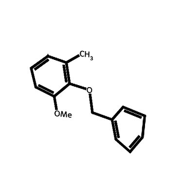 COc1cc[c]c(C)c1OCc1ccccc1